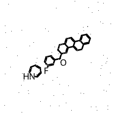 C1=CC=CNC=C1.O=C(c1cccc(F)c1)C1C=c2c(ccc3c2=CCc2ccccc2-3)CC1